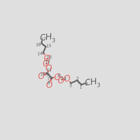 CCCCOOOC(=O)C(=O)OOOCCCC